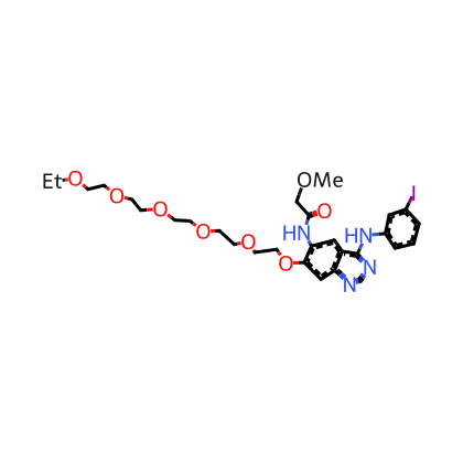 CCOCCOCCOCCOCCOCCOc1cc2ncnc(Nc3cccc(I)c3)c2cc1NC(=O)COC